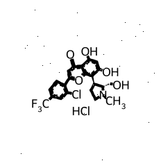 CN1CC[C@@H](c2c(O)cc(O)c3c(=O)cc(-c4ccc(C(F)(F)F)cc4Cl)oc23)[C@@H]1CO.Cl